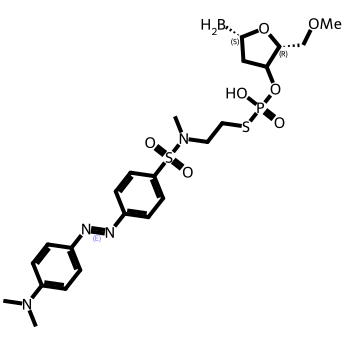 B[C@H]1CC(OP(=O)(O)SCCN(C)S(=O)(=O)c2ccc(/N=N/c3ccc(N(C)C)cc3)cc2)[C@@H](COC)O1